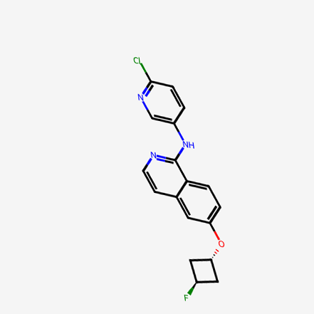 F[C@H]1C[C@H](Oc2ccc3c(Nc4ccc(Cl)nc4)nccc3c2)C1